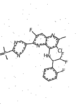 Cc1nc2cc(F)c(-c3cnc(P(C)(C)=O)nc3)nc2c(NC(c2ccccc2F)C(F)F)c1Cl